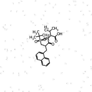 CC(C)[C@H](NC(=O)C(Cc1cccc2ccccc12)CS(=O)(=O)C(C)(C)C)C(=O)O